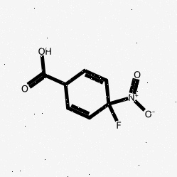 O=C(O)C1C=CC(F)([N+](=O)[O-])C=C1